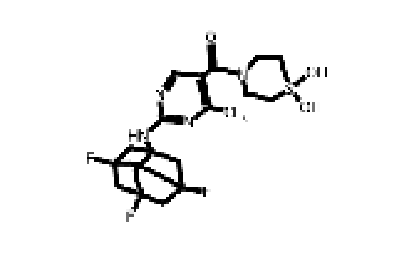 O=C(c1cnc(NC23CC4(F)CC(F)(CC(F)(C4)C2)C3)nc1C(F)(F)F)N1CCS(O)(O)CC1